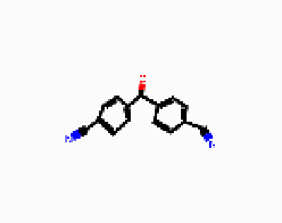 N#Cc1ccc(C(=O)c2ccc(C#N)cc2)cc1